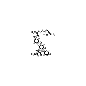 CN1CCN(CCCN(C)C(=O)Nc2cc(Oc3ccc(N(C(=O)C4(C(N)=O)CC4)c4ccc(F)cc4)c(F)c3)ccn2)CC1